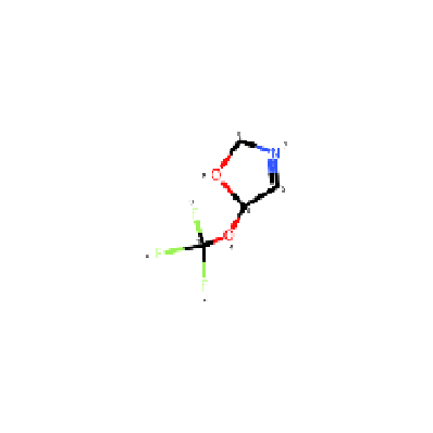 FC(F)(F)OC1[C]=NCO1